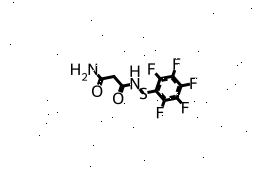 NC(=O)CC(=O)NSc1c(F)c(F)c(F)c(F)c1F